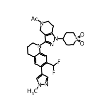 CC(=O)N1CCc2c(c(N3CCCc4cc(-c5cnn(C)c5)c(C(F)F)cc43)nn2C2CCS(=O)(=O)CC2)C1